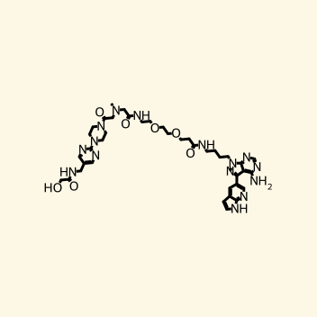 CN(CC(=O)NCCOCCOCCC(=O)NCCCCn1nc(-c2cnc3[nH]ccc3c2)c2c(N)ncnc21)CC(=O)N1CCN(c2ncc(CNC(=O)CO)cn2)CC1